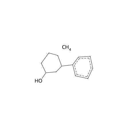 C.OC1CCCC(c2ccccc2)C1